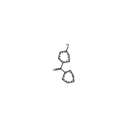 O=C(c1ccccc1)c1ccc([18F])cc1